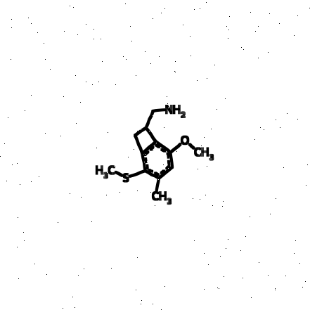 COc1cc(C)c(SC)c2c1C(CN)C2